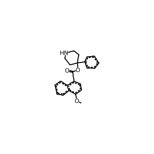 COc1ccc(C(=O)OC2(c3ccccc3)CCNCC2)c2ccccc12